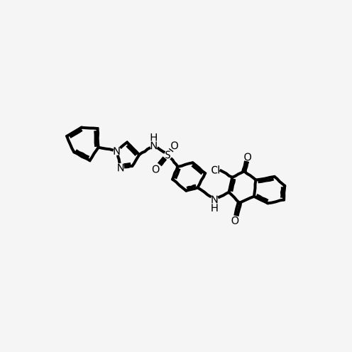 O=C1C(Cl)=C(Nc2ccc(S(=O)(=O)Nc3cnn(-c4ccccc4)c3)cc2)C(=O)c2ccccc21